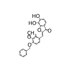 COc1cc(C=C2Oc3c(ccc(O)c3O)C2=O)ccc1OCc1ccccc1